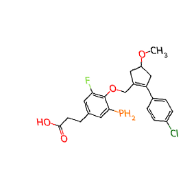 COC1CC(COc2c(F)cc(CCC(=O)O)cc2P)=C(c2ccc(Cl)cc2)C1